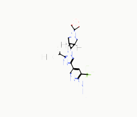 CC(C)c1nc(-c2cnc(N)c(C(F)(F)F)c2)cn1[C@H]1[C@@H]2CN(C3COC3)C[C@@H]21